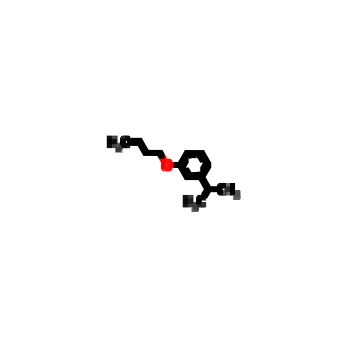 C=CCCOc1cccc(C(C)C)c1